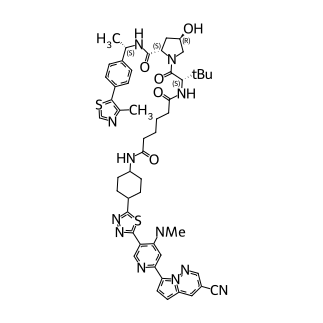 CNc1cc(-c2ccc3cc(C#N)cnn23)ncc1-c1nnc(C2CCC(NC(=O)CCCCC(=O)N[C@H](C(=O)N3C[C@H](O)C[C@H]3C(=O)N[C@@H](C)c3ccc(-c4scnc4C)cc3)C(C)(C)C)CC2)s1